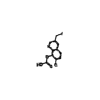 O=C(O)Oc1c(Cl)ccc2cc(CI)cnc12